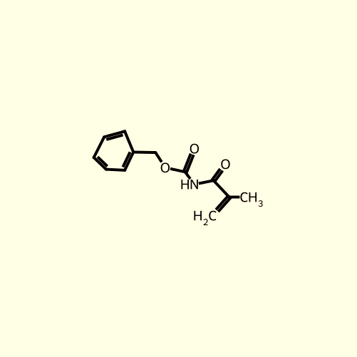 C=C(C)C(=O)NC(=O)OCc1ccccc1